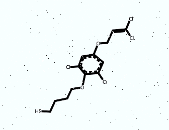 SCCCCOc1c(Cl)cc(OCC=C(Cl)Cl)cc1Cl